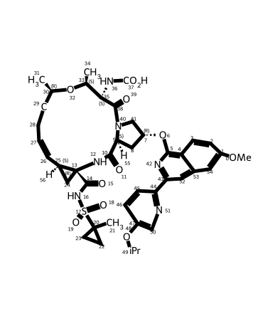 COc1ccc2c(O[C@@H]3C[C@H]4C(=O)N[C@]5(C(=O)NS(=O)(=O)C6(C)CC6)C[C@H]5C=CCC[C@@H](C)O[C@@H](C)[C@H](NC(=O)O)C(=O)N4C3)nc(-c3ccc(OC(C)C)cn3)cc2c1